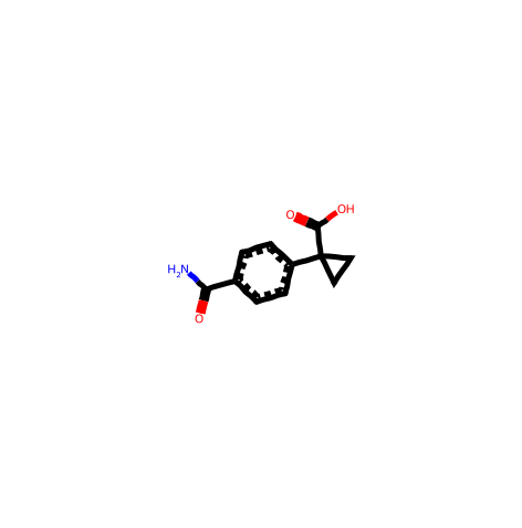 NC(=O)c1ccc(C2(C(=O)O)CC2)cc1